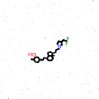 C=C1CC/C(=C/C=C2\CCCC3(C)C(CCCN4CCC(CC(F)F)C4)CCC23)CC1O